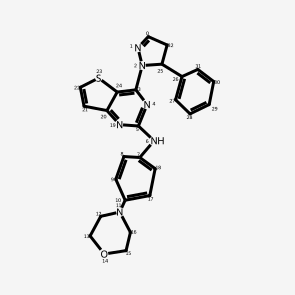 C1=NN(c2nc(Nc3ccc(N4CCOCC4)cc3)nc3ccsc23)C(c2ccccc2)C1